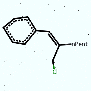 CCCCCC(=Cc1ccccc1)CCl